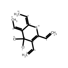 C=CC1=C(C=C)C(Cl)(Cl)C(=C/C)/C(=C\C)S1